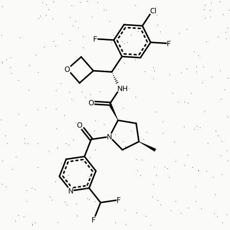 C[C@@H]1C[C@H](C(=O)N[C@@H](c2cc(F)c(Cl)cc2F)C2COC2)N(C(=O)c2ccnc(C(F)F)c2)C1